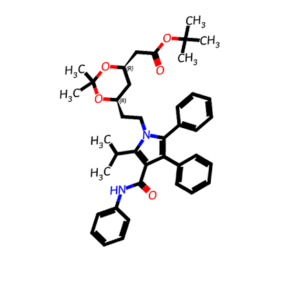 CC(C)c1c(C(=O)Nc2ccccc2)c(-c2ccccc2)c(-c2ccccc2)n1CC[C@@H]1C[C@H](CC(=O)OC(C)(C)C)OC(C)(C)O1